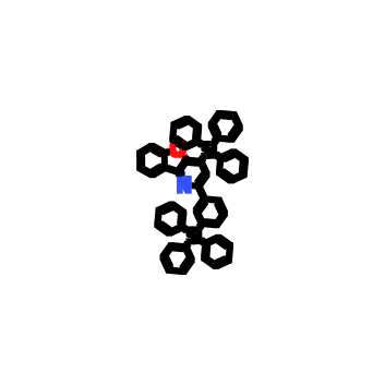 c1ccc([Si](c2ccccc2)(c2ccccc2)c2cccc(-c3cc([Si](c4ccccc4)(c4ccccc4)c4ccccc4)c4oc5ccccc5c4n3)c2)cc1